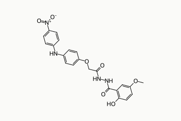 COc1ccc(O)c(C(=O)NNC(=O)COc2ccc(Nc3ccc([N+](=O)[O-])cc3)cc2)c1